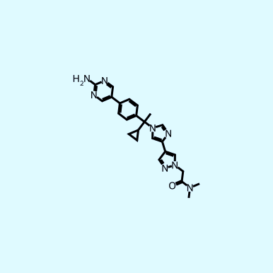 CN(C)C(=O)Cn1cc(-c2cn(C(C)(c3ccc(-c4cnc(N)nc4)cc3)C3CC3)cn2)cn1